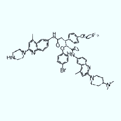 Cc1cc(N2CCNCC2)nc2ccc(NC(=O)CC(c3ccc(OC(F)(F)F)cc3)C(Oc3ccc(Br)cc3)C(=O)Nc3ccc4nc(N5CCC(N(C)C)CC5)cc(C)c4c3)cc12